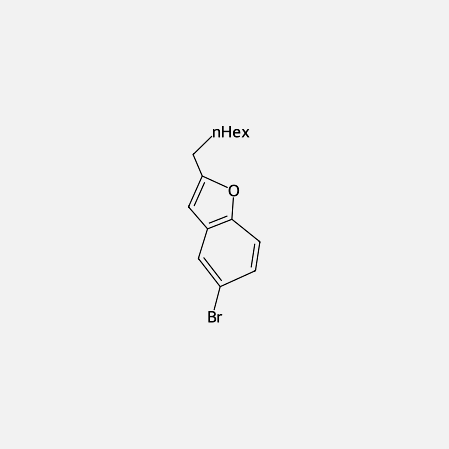 CCCCCCCc1cc2cc(Br)ccc2o1